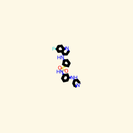 O=S(=O)(Nc1cccc(Nc2ccncc2)c1)c1cccc(Nc2ccnc3ccc(F)cc23)c1